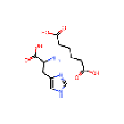 NC(Cc1c[nH]cn1)C(=O)O.O=C(O)CCCCC(=O)O